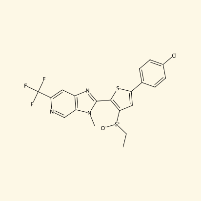 CC[S+]([O-])c1cc(-c2ccc(Cl)cc2)sc1-c1nc2cc(C(F)(F)F)ncc2n1C